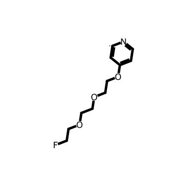 FCCOCCOCCOc1c[c]ncc1